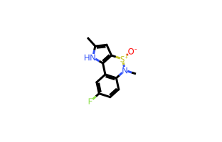 Cc1cc2c([nH]1)-c1cc(F)ccc1N(C)[S+]2[O-]